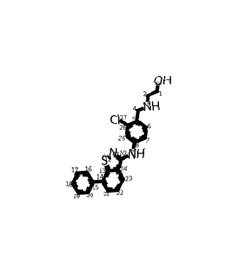 OCCNCc1ccc(Nc2nsc3c(-c4ccccc4)cccc23)cc1Cl